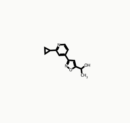 CC(O)c1cc(-c2ccnc(C3CC3)c2)no1